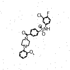 COc1ccccc1N1CCN(C(=O)c2ccc(S(=O)(=O)Nc3ccc(F)c(Cl)c3)cc2)CC1